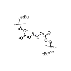 CC(C)(C)CC(C)(C)OOC(=O)O/C=C/OC(=O)OOC(C)(C)CC(C)(C)C